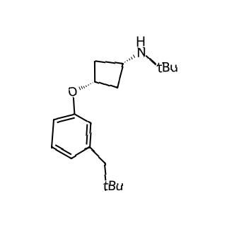 CC(C)(C)Cc1cccc(O[C@H]2C[C@@H](NC(C)(C)C)C2)c1